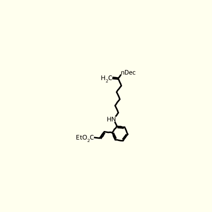 C=C(CCCCCCCCCC)CCCCCNc1ccccc1C=CC(=O)OCC